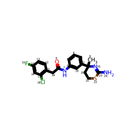 CC1(c2cccc(NC(=O)Cc3ccc(F)cc3Cl)c2)CCSC(N)=N1